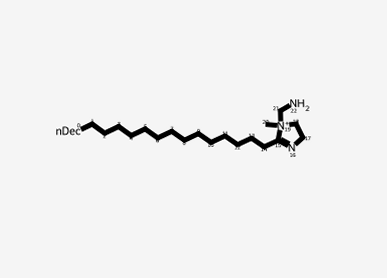 CCCCCCCCCCCCCCCCCCCCCCCCC1=NCC[N+]1(C)CN